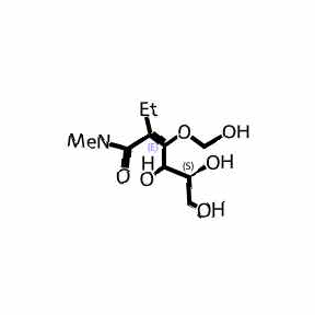 CC/C(C(=O)NC)=C(\OCO)C(O)[C@@H](O)CO